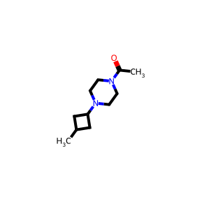 CC(=O)N1CCN(C2CC(C)C2)CC1